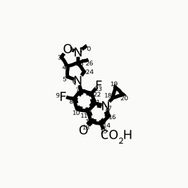 CN1OCC2CN(c3c(F)cc4c(=O)c(C(=O)O)cn(C5CC5)c4c3F)CC21C